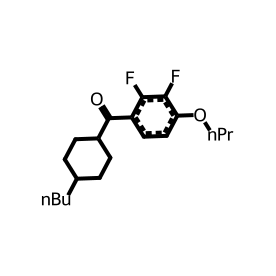 CCCCC1CCC(C(=O)c2ccc(OCCC)c(F)c2F)CC1